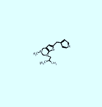 CC(C)CN1CN(C)Cc2cc(Cc3ccncc3)sc21